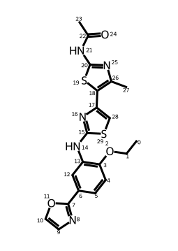 CCOc1ccc(-c2ncco2)cc1Nc1nc(-c2sc(NC(C)=O)nc2C)cs1